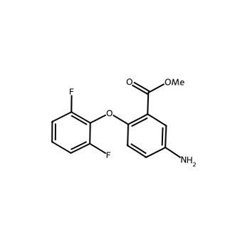 COC(=O)c1cc(N)ccc1Oc1c(F)cccc1F